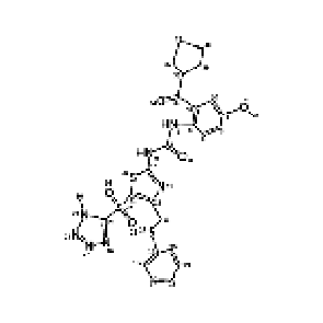 COc1ccc(NC(=O)Nc2nc(CSc3ccccc3)c(S(=O)(=O)c3nnnn3C)s2)c(C(=O)C2CCCC2)c1